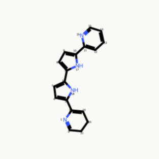 C1=NC(c2ccc(-c3ccc(-c4ccccn4)[nH]3)[nH]2)=CCC1